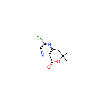 CC1(C)Cc2nc(Cl)cnc2C(=O)O1